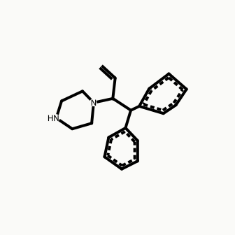 C=C[C](C(c1ccccc1)c1ccccc1)N1CCNCC1